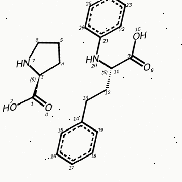 O=C(O)[C@@H]1CCCN1.O=C(O)[C@H](CCc1ccccc1)Nc1ccccc1